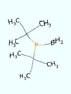 BP(C(C)(C)C)C(C)(C)C